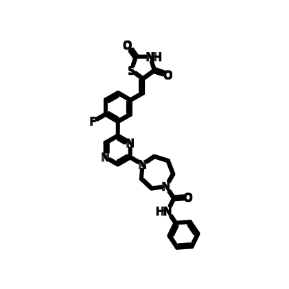 O=C1NC(=O)/C(=C/c2ccc(F)c(-c3cncc(N4CCCN(C(=O)Nc5ccccc5)CC4)n3)c2)S1